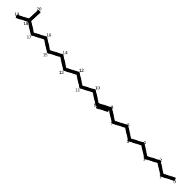 CCCCCCCCC=CCCCCCCCCC(C)C